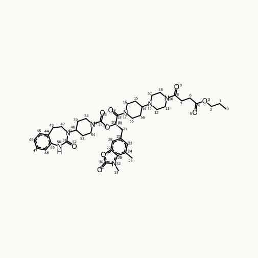 CCCOC(=O)CCC(=O)N1CCN(C2CCN(C(=O)[C@@H](Cc3cc(C)c4c(c3)oc(=O)n4C)OC(=O)N3CCC(N4CCc5ccccc5NC4=O)CC3)CC2)CC1